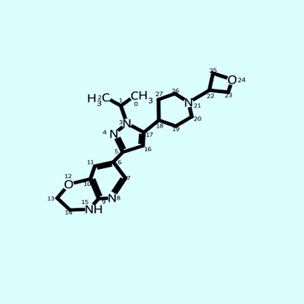 CC(C)n1nc(-c2cnc3c(c2)OCCN3)cc1C1CCN(C2COC2)CC1